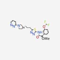 CO[C@@H](C(=O)Nc1nnc(CCC[C@@H]2CCN(c3cccnn3)C2)s1)c1cccc(OC(F)F)c1